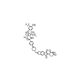 CC1(C)[C@H](NC(=O)c2ccc(N3CCC(CN4Cc5cc6c(cc5C4)C(=O)N(C4CCC(=O)NC4=O)C6=O)CC3)cc2)C(C)(C)[C@H]1Oc1ccc(C#N)c(C(F)(F)F)c1